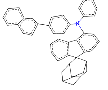 c1ccc(N(c2ccc(-c3ccc4ccccc4c3)cc2)c2cccc3c2-c2ccccc2C32C3CC4CC(C3)CC2C4)cc1